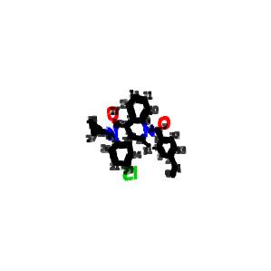 CCc1ccc(C(=O)N2c3ccccc3[C@@H](C(=O)N(c3ccc(Cl)cc3)C3CC3)C[C@@H]2C)cc1